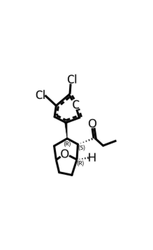 CCC(=O)[C@@H]1[C@H]2CCC(C[C@H]1c1ccc(Cl)c(Cl)c1)O2